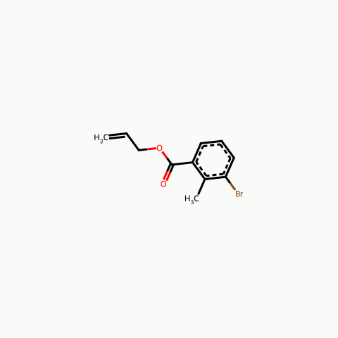 C=CCOC(=O)c1cccc(Br)c1C